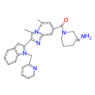 Cc1cc(C(=O)N2CCC[C@@H](N)C2)cc2nc(-c3cc4ccccc4n3Cc3ccccn3)c(C)n12